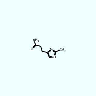 Cc1nc(CCC(N)=O)co1